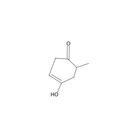 CC1CC(O)=CCC1=O